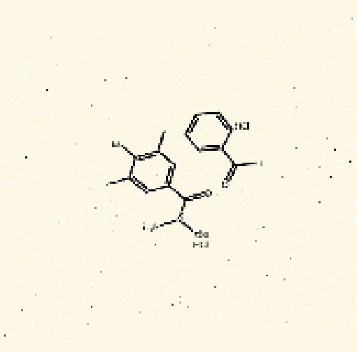 CCc1c(C)cc(C(=O)N(N)C(C)(C)C)cc1C.Cl.Cl.O=C(Cl)c1ccccc1